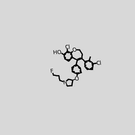 Cc1c(Cl)cccc1C1=C(c2ccc(O[C@H]3CCN(CCCF)C3)cc2)c2ccc(O)c(Cl)c2OCC1